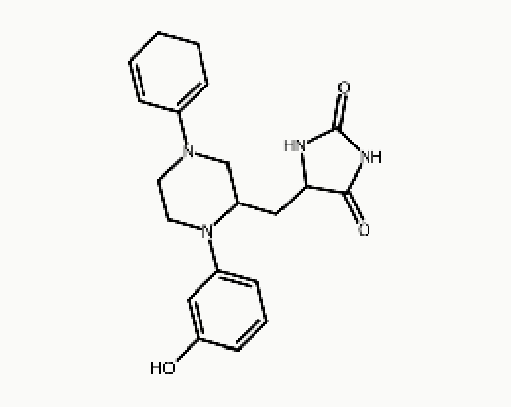 O=C1NC(=O)C(CC2CN(C3=CCCC=C3)CCN2c2cccc(O)c2)N1